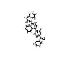 CC1CN(C(=O)c2ccccc2)CCN1c1nnc(-n2ccc3ccccc32)c2ccccc12